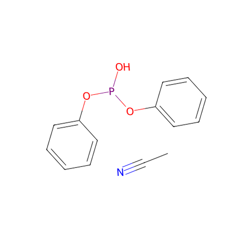 CC#N.OP(Oc1ccccc1)Oc1ccccc1